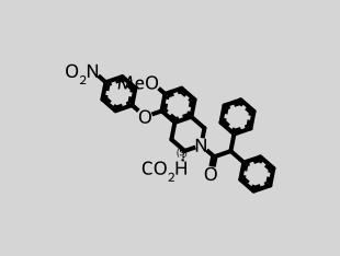 COc1ccc2c(c1Oc1ccc([N+](=O)[O-])cc1)C[C@@H](C(=O)O)N(C(=O)C(c1ccccc1)c1ccccc1)C2